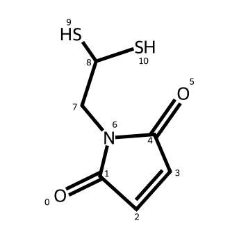 O=C1C=CC(=O)N1CC(S)S